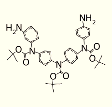 CC(C)(C)OC(=O)N(c1ccc(N)cc1)c1ccc(N(C(=O)OC(C)(C)C)c2ccc(N(C(=O)OC(C)(C)C)c3cccc(N)c3)cc2)cc1